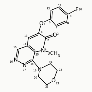 Cn1c(=O)c(Oc2ccc(F)cc2)cc2cnnc(N3CCOCC3)c21